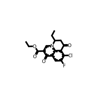 CCOC(=O)c1cn2c3c(c(Cl)c(F)cc3c1=O)C(=O)CC2CC